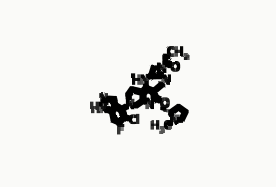 C=CC(=O)N1CC(Nc2c(C#N)c(OC[C@@H]3CCCN3C)nc3c2CCN(c2c(Cl)c(F)cc4[nH]ncc24)C3)C1